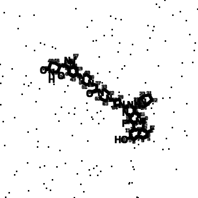 C#Cc1c(F)ccc2cc(O)cc(-c3ncc4c(N5CC6CCC(C5)N6)nc(N5CC(N6CCN(C(=O)CN7CCN(c8ccc9c(C%10CCC(=O)NC%10=O)nn(C)c9c8)CC7)CC6)C5)nc4c3F)c12